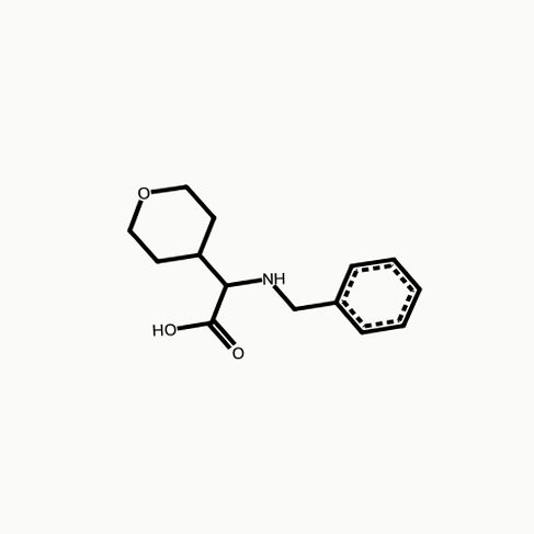 O=C(O)C(NCc1ccccc1)C1CCOCC1